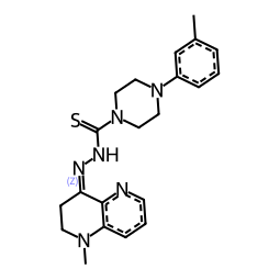 Cc1cccc(N2CCN(C(=S)N/N=C3/CCN(C)c4cccnc43)CC2)c1